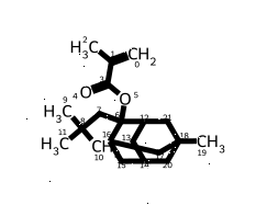 C=C(C)C(=O)OC1(CC(C)(C)C)C2CC3CC1CC(C)(C3)C2